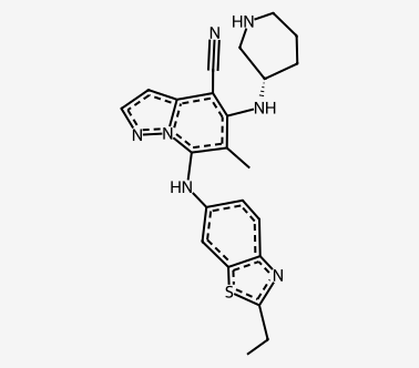 CCc1nc2ccc(Nc3c(C)c(N[C@H]4CCCNC4)c(C#N)c4ccnn34)cc2s1